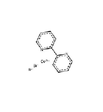 [Br-].[Br-].[Co+2].c1ccc(-c2ccccn2)nc1